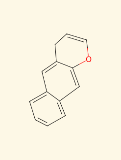 C1=COc2cc3ccccc3cc2C1